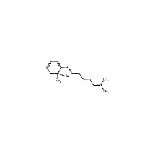 CCCCC1(N)CN=CC=C1OCCOCCN(C)C